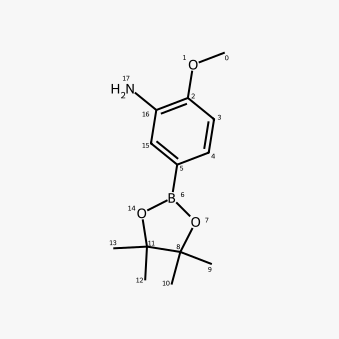 COc1ccc(B2OC(C)(C)C(C)(C)O2)cc1N